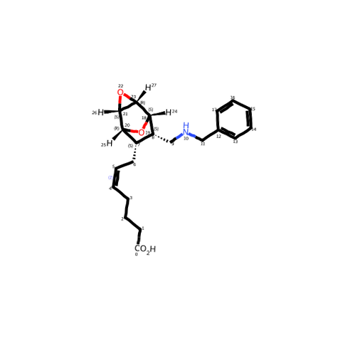 O=C(O)CCC/C=C\C[C@H]1[C@@H](CNCc2ccccc2)[C@@H]2O[C@H]1[C@@H]1O[C@@H]12